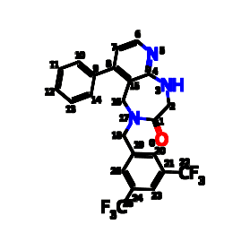 O=C1CNc2nccc(-c3ccccc3)c2CN1Cc1cc(C(F)(F)F)cc(C(F)(F)F)c1